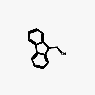 N#CCC1c2ccccc2-c2ccccc21